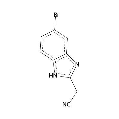 N#CCc1nc2cc(Br)ccc2[nH]1